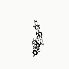 Cc1ccc(S(=O)(=O)n2cc(Br)c3c(NCc4nccc(N5C[C@@H](C)N[C@@H](C)C5)n4)ncnc32)cc1